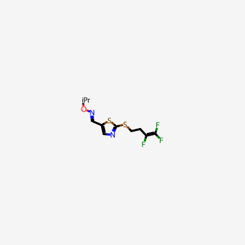 CC(C)ON=Cc1cnc(SCCC(F)=C(F)F)s1